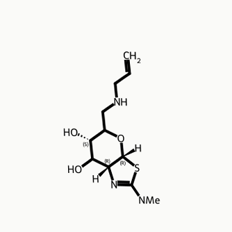 C=CCNCC1O[C@@H]2SC(NC)=N[C@@H]2C(O)[C@@H]1O